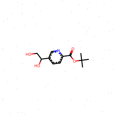 CC(C)(C)OC(=O)c1ccc(C(O)CO)cn1